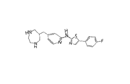 Fc1ccc(-c2cnc(Nc3cc(CC4CNCCNC4)ccn3)s2)cc1